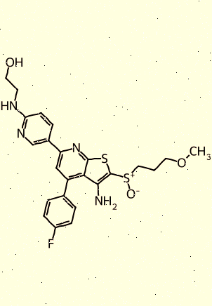 COCCC[S+]([O-])c1sc2nc(-c3ccc(NCCO)nc3)cc(-c3ccc(F)cc3)c2c1N